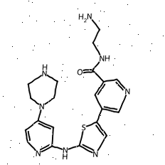 NCCNC(=O)c1cncc(-c2cnc(Nc3cc(N4CCNCC4)ccn3)s2)c1